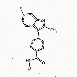 CCNC(=O)c1ccc(-n2c(C)nc3cc(F)ccc32)cc1